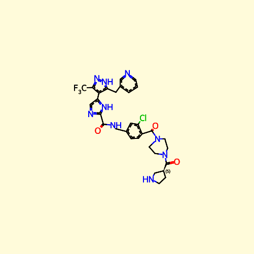 O=C(NCc1ccc(C(=O)N2CCN(C(=O)[C@H]3CCNC3)CC2)c(Cl)c1)c1ncc(-c2c(C(F)(F)F)n[nH]c2Cc2cccnc2)[nH]1